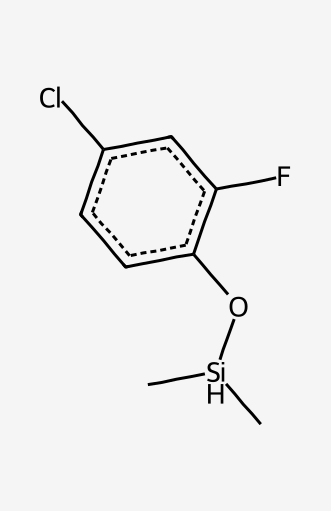 C[SiH](C)Oc1ccc(Cl)cc1F